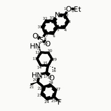 CCOc1ccc2cc(S(=O)(=O)N[C@H]3CC[C@](C)(C(=O)N[C@H](C)c4ccc(F)cc4)CC3)ccc2n1